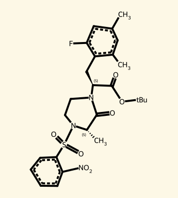 Cc1cc(C)c(C[C@@H](C(=O)OC(C)(C)C)N2CCN(S(=O)(=O)c3ccccc3[N+](=O)[O-])[C@@H](C)C2=O)c(F)c1